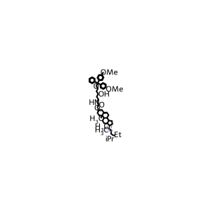 CCC(C/C=C(\C)[C@@H]1CCC2C3CC=C4C[C@H](OC(=O)NCCC(O)CCOC(c5ccccc5)(c5ccc(OC)cc5)c5ccc(OC)cc5)CCC4(C)C3CCC21C)C(C)C